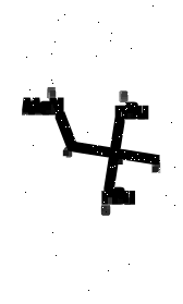 CCCCC(C)(CCCC)CNC